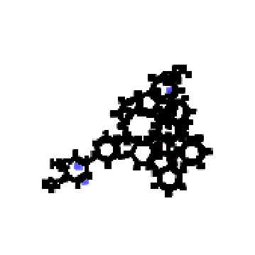 C=C/C=C\C(=C/C)c1ccc(N2C3=C(C4=C(CC3)c3ccccc3C4(c3ccccc3)c3ccccc3)[C@@H]3CCCC=C3C3(c4ccccc4)C(/C=C\CC)=C(C=C)c4ccc2cc43)cc1